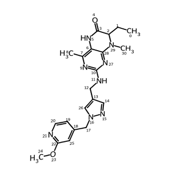 CCC1C(=O)Nc2c(C)nc(NCc3cnn(Cc4ccnc(OC)c4)c3)nc2N1C